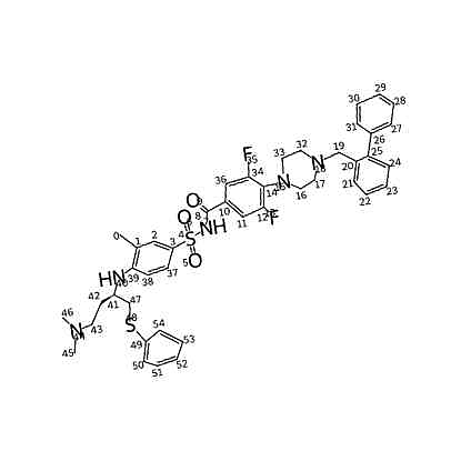 Cc1cc(S(=O)(=O)NC(=O)c2cc(F)c(N3CCN(Cc4ccccc4-c4ccccc4)CC3)c(F)c2)ccc1N[C@H](CCN(C)C)CSc1ccccc1